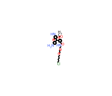 CC(=O)Oc1ccc(C(=O)NCCOCCOCCCCCCCl)cc1-c1c2ccc(=N)cc-2oc2cc(N)ccc12